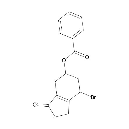 O=C1CCC2=C1CC(OC(=O)c1ccccc1)CC2Br